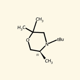 C[C@H]1COC(C)(C)CN1C(C)(C)C